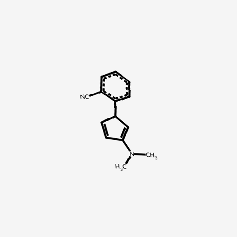 CN(C)C1=CC(c2ccccc2C#N)C=C1